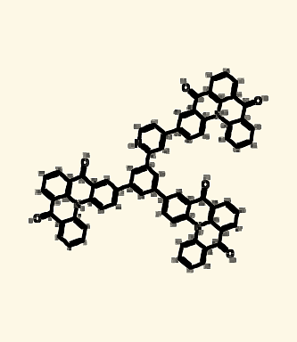 O=c1c2ccccc2n2c3ccc(-c4cc(-c5ccc6c(c5)c(=O)c5cccc7c(=O)c8ccccc8n6c75)cc(-c5cc(-c6ccc7c(c6)c(=O)c6cccc8c(=O)c9ccccc9n7c86)ccn5)c4)cc3c(=O)c3cccc1c32